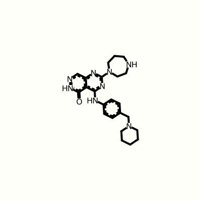 O=c1[nH]ncc2nc(N3CCCNCC3)nc(Nc3ccc(CN4CCCCC4)cc3)c12